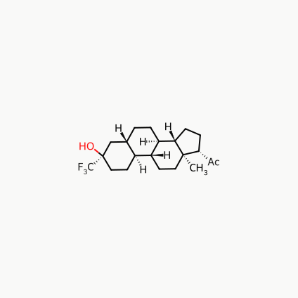 CC(=O)[C@H]1CC[C@H]2[C@@H]3CC[C@H]4C[C@@](O)(C(F)(F)F)CC[C@@H]4[C@H]3CC[C@]12C